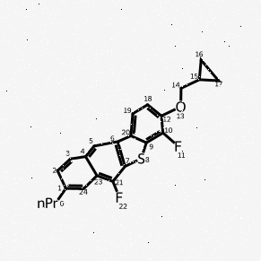 CCCc1ccc2cc3c(sc4c(F)c(OCC5CC5)ccc43)c(F)c2c1